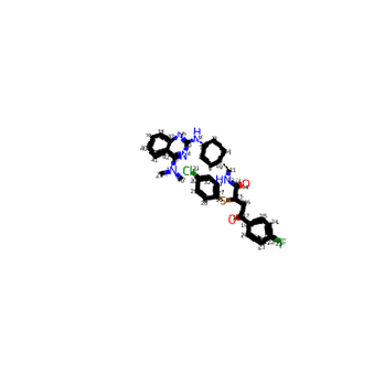 CN(C)c1nc(N[C@H]2CC[C@@H](CNC(=O)C(CC(=O)c3ccc(F)cc3)Sc3ccc(Cl)cc3)CC2)nc2ccccc12